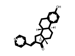 C[C@]12CC[C@@H]3c4ccc(O)cc4CC[C@H]3[C@@H]1CC(=Cc1ccncc1)C2=O